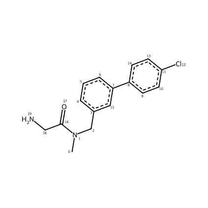 CN(Cc1cccc(-c2ccc(Cl)cc2)c1)C(=O)CN